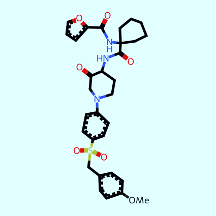 COc1ccc(CS(=O)(=O)c2ccc(N3CCC(NC(=O)C4(NC(=O)c5ccco5)CCCCC4)C(=O)C3)cc2)cc1